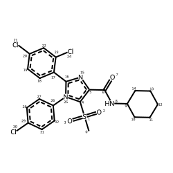 CS(=O)(=O)c1c(C(=O)NC2CCCCC2)nc(-c2ccc(Cl)cc2Cl)n1-c1ccc(Cl)cc1